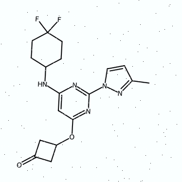 Cc1ccn(-c2nc(NC3CCC(F)(F)CC3)cc(OC3CC(=O)C3)n2)n1